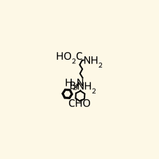 NC1CCCCC1.NCCCCC(N)C(=O)O.O=Cc1cccc(Br)c1